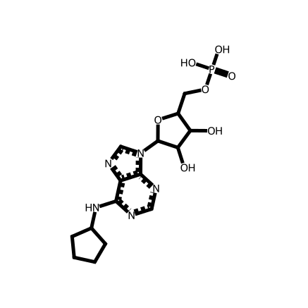 O=P(O)(O)OCC1OC(n2cnc3c(NC4CCCC4)ncnc32)C(O)C1O